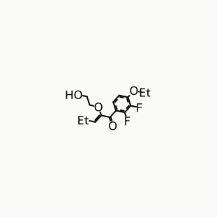 CCC=C(OCCO)C(=O)c1ccc(OCC)c(F)c1F